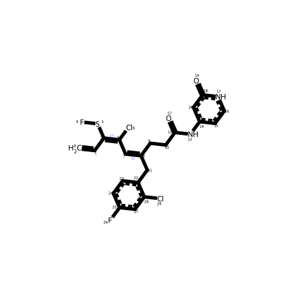 C=C/C(SF)=C(Cl)\C=C(/CCC(=O)Nc1cc[nH]c(=O)c1)Cc1ccc(F)cc1Cl